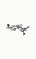 N#Cc1cn2c(Nc3cc([C@@H]4CC[C@H](OC(=O)NC56CC(C5)C6)[C@H]4F)[nH]n3)ncc(C3CC3)c2n1